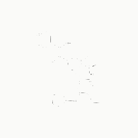 COc1ccc([C@@H]2CN(C(=O)C(O)c3ccccc3)C[C@@]2(C)[C@@H](C)O)cc1OC1CCCC1